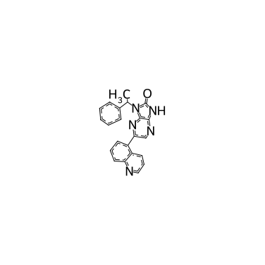 CC(c1ccccc1)n1c(=O)[nH]c2ncc(-c3cccc4ncccc34)nc21